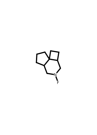 FN1CC2CCCC23CCC3C1